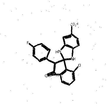 NC(=O)C(c1ccc(F)cc1)C1(c2c(Cl)cccc2Cl)Nc2ccc(C(=O)O)cc2N1